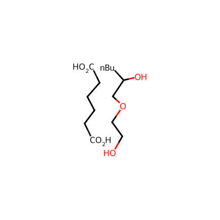 CCCCC(O)COCCO.O=C(O)CCCCC(=O)O